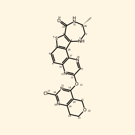 C[C@@H]1CNc2c(sc3ccc4nc(Oc5nc(Cl)nc6c5COCC6)cnc4c23)C(=O)N1